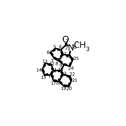 CN1C(=O)c2cccc3c(-c4c5ccccc5cc5ccccc45)ccc1c23